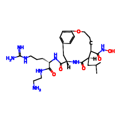 CC(C)C[C@H]1C(=O)N[C@H](C(=O)N[C@@H](CCCNC(=N)N)C(=O)NCCN)Cc2ccc(cc2)OCCCC1C(=O)NO